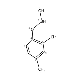 Cc1ccc(OBO)c(Cl)c1